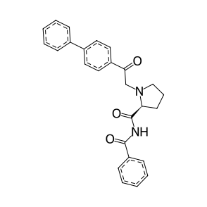 O=C(CN1CCC[C@H]1C(=O)NC(=O)c1ccccc1)c1ccc(-c2ccccc2)cc1